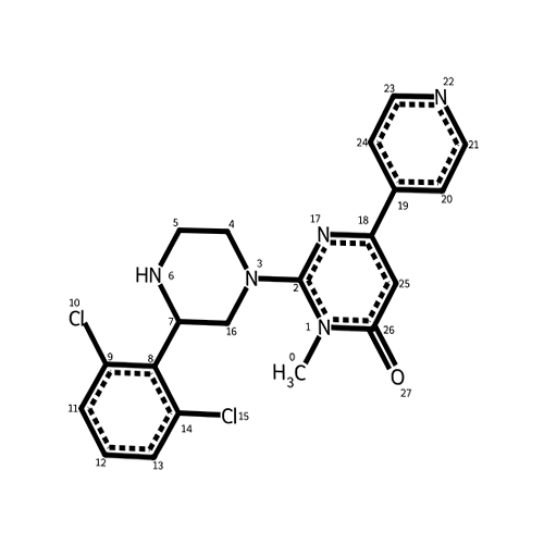 Cn1c(N2CCNC(c3c(Cl)cccc3Cl)C2)nc(-c2ccncc2)cc1=O